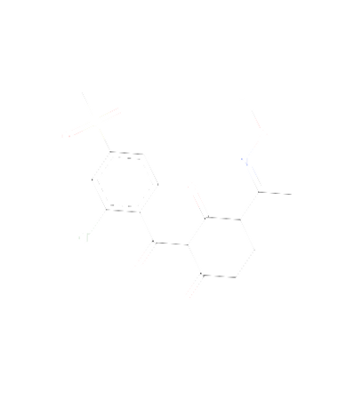 CCON=C(C)C1CCC(=O)C(C(=O)c2ccc(S(C)(=O)=O)cc2Cl)C1=O